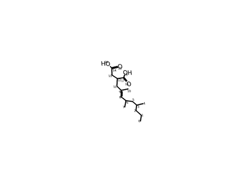 CCCC(C)CC(C)/C=C(\C)CC(CC(=O)O)C(=O)O